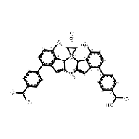 CC1=Cc2c(-c3ccc(C(C)C)cc3)ccc(C)c2[CH]1[Zr+2]1([CH]2C(C)=Cc3c(-c4ccc(C(C)C)cc4)ccc(C)c32)[CH2][CH2]1.[Cl-].[Cl-]